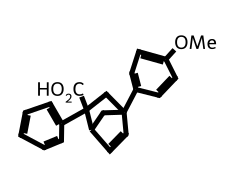 COc1ccc(C23C=CC(C2)C(C(=O)O)(c2ccccc2)C3)cc1